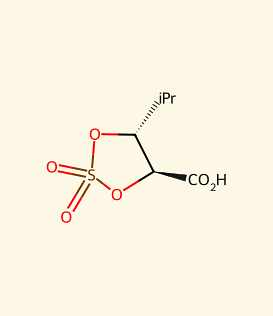 CC(C)[C@H]1OS(=O)(=O)O[C@@H]1C(=O)O